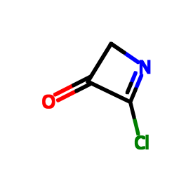 O=C1CN=C1Cl